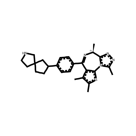 Cc1sc2c(c1C)C(c1ccc(C3CCC4(CCNC4)C3)cc1)=N[C@@H](C)c1nnc(C)n1-2